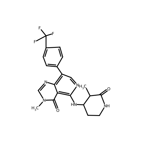 CC1C(=O)NCCC1Nc1ncc(-c2ccc(C(F)(F)F)cc2)c2ncn(C)c(=O)c12